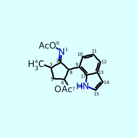 CC(=O)ON=C1C(C)CC(OC(C)=O)C1c1cccc2cc[nH]c12